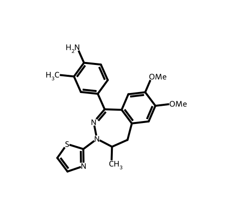 COc1cc2c(cc1OC)C(c1ccc(N)c(C)c1)=NN(c1nccs1)C(C)C2